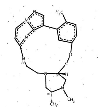 Cc1ccc2cc1-c1cnn3ccc(nc13)NCCN1C[C@@H](C)N(C)C[C@H]1CO2